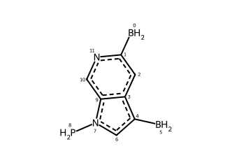 Bc1cc2c(B)cn(P)c2cn1